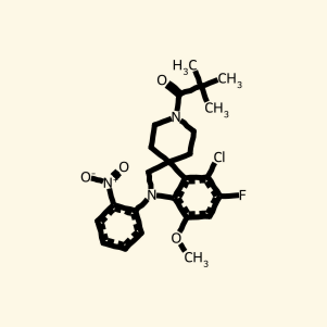 COc1cc(F)c(Cl)c2c1N(c1ccccc1[N+](=O)[O-])CC21CCN(C(=O)C(C)(C)C)CC1